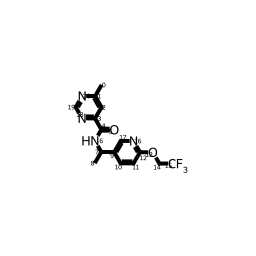 Cc1cc(C(=O)NC(C)c2ccc(OCC(F)(F)F)nc2)ncn1